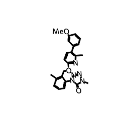 COc1cccc(-c2ccc(OCc3c(C)cccc3-n3nnn(C)c3=O)nc2C)c1